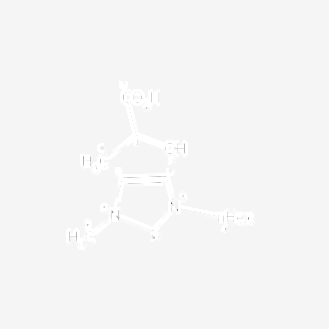 CC(O)C(=O)O.CCCCCCN1C=CN(C)C1